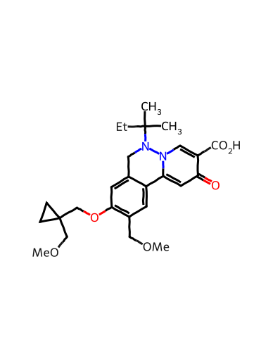 CCC(C)(C)N1Cc2cc(OCC3(COC)CC3)c(COC)cc2-c2cc(=O)c(C(=O)O)cn21